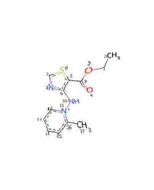 CCOC(=O)c1scnc1N[n+]1ccccc1C